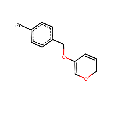 CC(C)c1ccc(COC2=COCC=C2)cc1